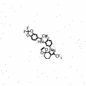 C[C@H](Nc1cc(-n2nc(C(F)(F)F)c3c2C2(CCC3)OC=CO2)ccc1F)c1ccc2c(c1)OC(F)(F)O2